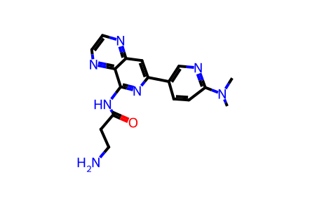 CN(C)c1ccc(-c2cc3nccnc3c(NC(=O)CCN)n2)cn1